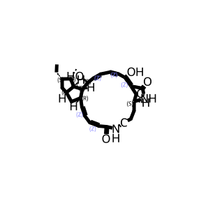 CC[C@H]1C[C@@H]2C[C@@H]3/C=C\C=C/C(=O)NCCC[C@@H]4NC(=O)/C(=C(O)/C=C\C=C/[C@H](O)[C@H]3[C@@H]2[C@H]1C)C4=O